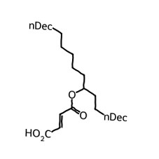 CCCCCCCCCCCCCCCC(CCCCCCCCCCCC)OC(=O)C=CC(=O)O